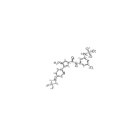 CCS(=O)(=O)Nc1cc(Cl)cc(NC(=O)c2cc(-c3ccc(N4CC(F)(F)C4)cn3)n(C)c2)c1